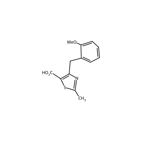 COc1ccccc1Cc1nc(C)sc1C(=O)O